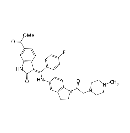 COC(=O)c1ccc2c(c1)NC(=O)/C2=C(\Nc1ccc2c(c1)CCN2C(=O)CN1CCN(C)CC1)c1ccc(F)cc1